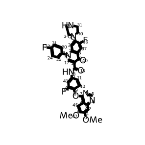 COc1cc2ncnc(Oc3ccc(NC(=O)c4cn(-c5ccc(F)cc5)c5cc(N6CCNCC6)c(F)cc5c4=O)cc3F)c2cc1OC